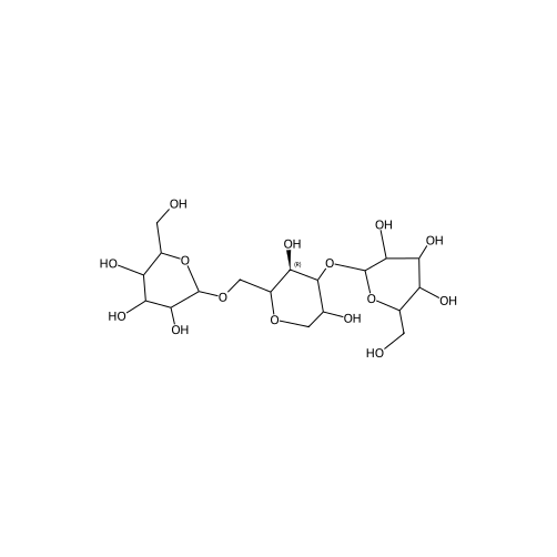 OCC1OC(OCC2OCC(O)C(OC3OC(CO)C(O)C(O)C3O)[C@@H]2O)C(O)C(O)C1O